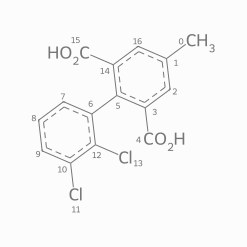 Cc1cc(C(=O)O)c(-c2cccc(Cl)c2Cl)c(C(=O)O)c1